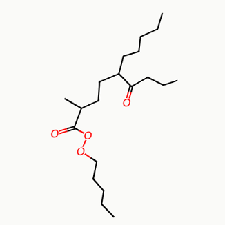 CCCCCOOC(=O)C(C)CCC(CCCCC)C(=O)CCC